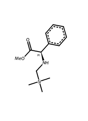 COC(=O)[C@H](NC[Si](C)(C)C)c1ccccc1